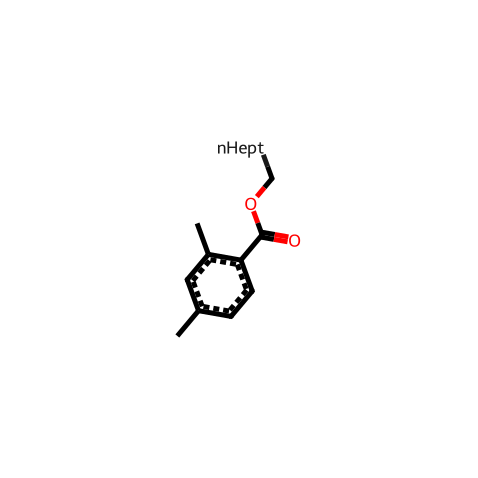 CCCCCCCCOC(=O)c1ccc(C)cc1C